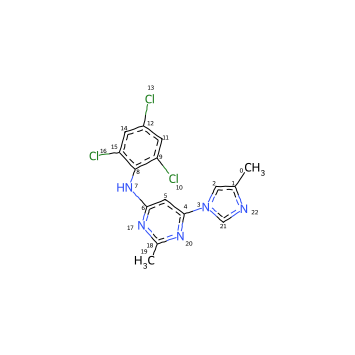 Cc1cn(-c2cc(Nc3c(Cl)cc(Cl)cc3Cl)nc(C)n2)cn1